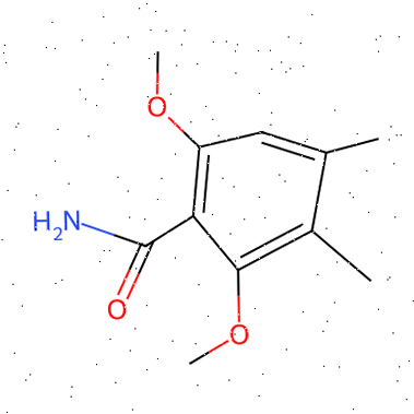 COc1cc(C)c(C)c(OC)c1C(N)=O